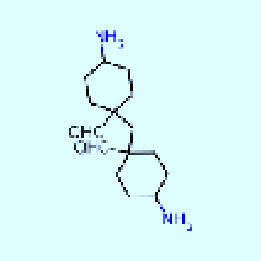 NC1CCC(C=O)(CC2(C=O)CCC(N)CC2)CC1